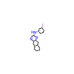 Ic1cccc(Nc2cnc3cc4ccccc4cc3n2)c1